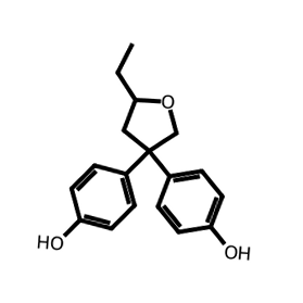 CCC1CC(c2ccc(O)cc2)(c2ccc(O)cc2)CO1